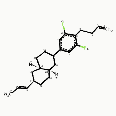 C=CCCc1c(F)cc(C2CC[C@@H]3C[C@H](C=CC)CC[C@@H]3C2)cc1F